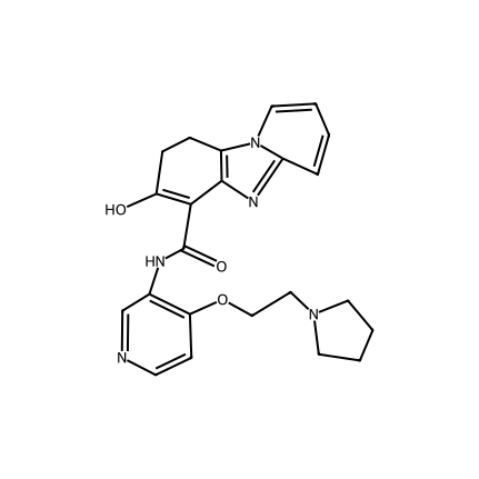 O=C(Nc1cnccc1OCCN1CCCC1)C1=C(O)CCc2c1nc1ccccn21